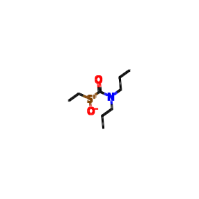 CCCN(CCC)C(=O)[S+]([O-])CC